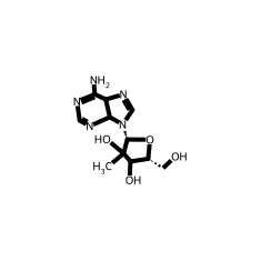 CC1(O)C(O)[C@@H](CO)O[C@H]1N1C=NC2C(N)=NC=NC21